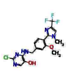 COc1cc(CNc2nc(Cl)ncc2O)ccc1-c1nc(C(F)(F)F)cn1C